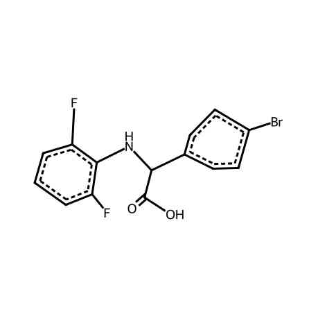 O=C(O)C(Nc1c(F)cccc1F)c1ccc(Br)cc1